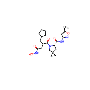 Cc1cc(NC(=O)[C@@H]2CC3(CC3)CN2C(=O)C(CC(=O)NO)CC2CCCC2)no1